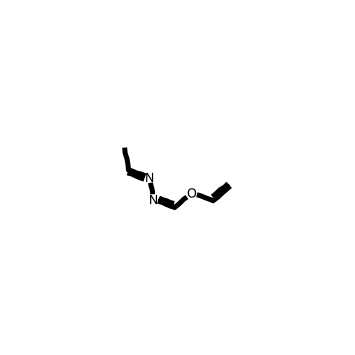 C=CO/C=N\N=C\C